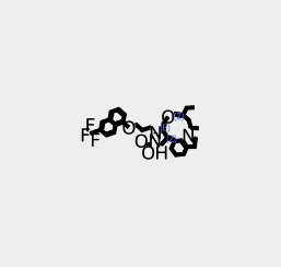 CC/C1=C/O/C=C2\C(=C3\CCCC4=C3N(CC4)C(C)C1)CN(C(=O)O)N2CCCOc1cccc2cc(C(F)(F)F)ccc12